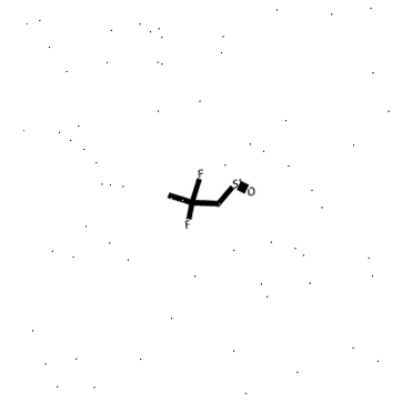 CC(F)(F)C[S+]=O